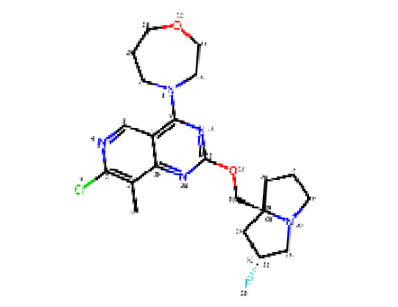 Cc1c(Cl)ncc2c(N3CCCOCC3)nc(OC[C@@]34CCCN3C[C@H](F)C4)nc12